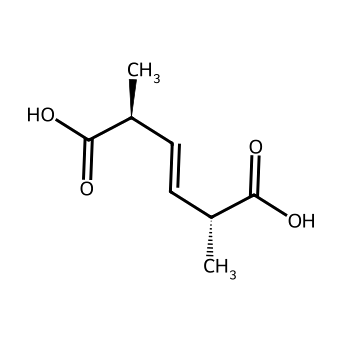 C[C@H](/C=C/[C@H](C)C(=O)O)C(=O)O